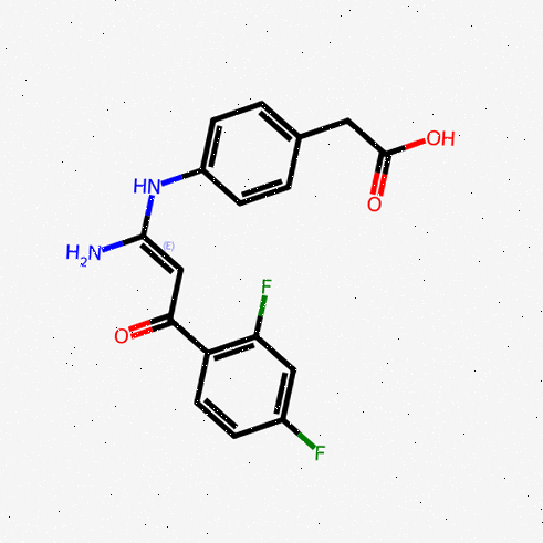 N/C(=C\C(=O)c1ccc(F)cc1F)Nc1ccc(CC(=O)O)cc1